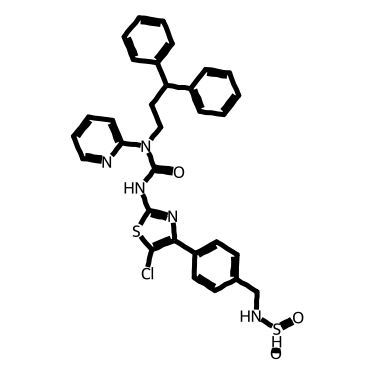 O=C(Nc1nc(-c2ccc(CN[SH](=O)=O)cc2)c(Cl)s1)N(CCC(c1ccccc1)c1ccccc1)c1ccccn1